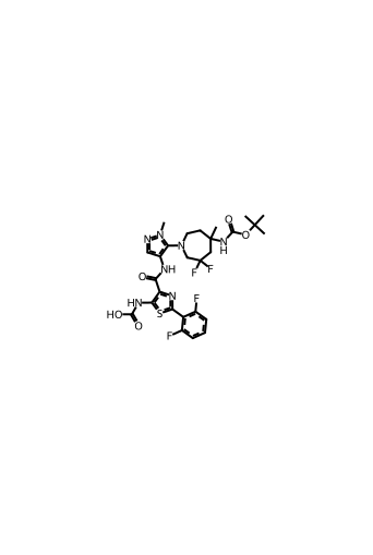 Cn1ncc(NC(=O)c2nc(-c3c(F)cccc3F)sc2NC(=O)O)c1N1CCC(C)(NC(=O)OC(C)(C)C)CC(F)(F)C1